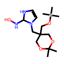 CC1(C)OCC(CO[Si](C)(C)C)(CN2C=CNC2NO)CO1